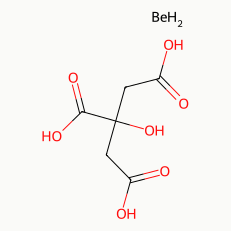 O=C(O)CC(O)(CC(=O)O)C(=O)O.[BeH2]